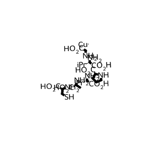 CC(C)[C@H](N)C(=O)O.CC(C)[C@H](N)C(=O)O.C[C@H](N)C(=O)O.NCC(=O)O.N[C@@H](CS)C(=O)O.O=C(O)[C@@H]1CCCN1.[Cu]